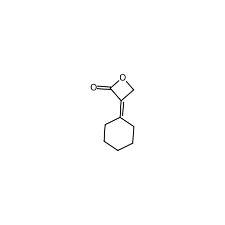 O=C1OCC1=C1CCCCC1